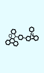 c1ccc(-n2c3ccccc3c3ccc(-c4ccc(C5c6ccccc6Oc6c5c5ccccc5c5ccccc65)cc4)cc32)cc1